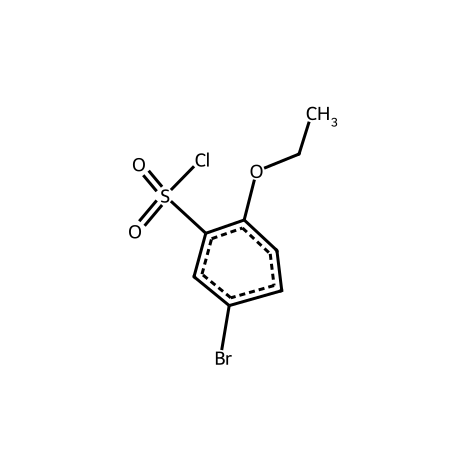 CCOc1ccc(Br)cc1S(=O)(=O)Cl